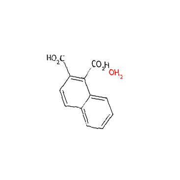 O.O=C(O)c1ccc2ccccc2c1C(=O)O